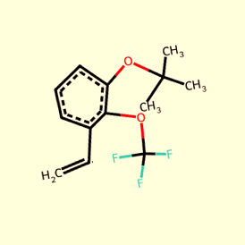 C=[C]c1cccc(OC(C)(C)C)c1OC(F)(F)F